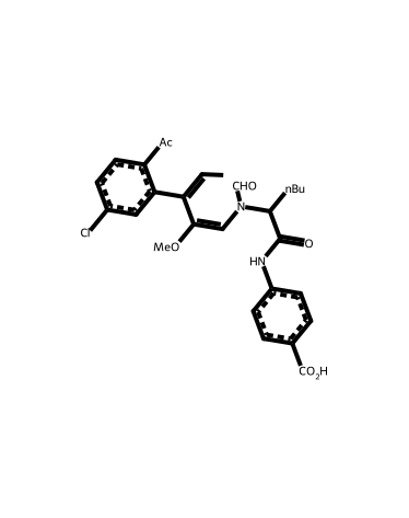 C/C=C(\C(=C/N(C=O)C(CCCC)C(=O)Nc1ccc(C(=O)O)cc1)OC)c1cc(Cl)ccc1C(C)=O